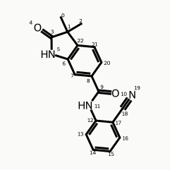 CC1(C)C(=O)Nc2cc(C(=O)Nc3ccccc3C#N)ccc21